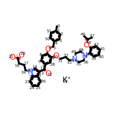 Cc1ccc(COc2ccc(C(=O)c3cn(CCCC(=O)[O-])c4ccccc34)cc2OCCCN2CCN(c3ccccc3OC(C)C)CC2)cc1.[K+]